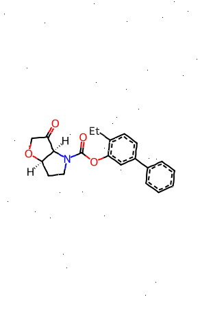 CCc1ccc(-c2ccccc2)cc1OC(=O)N1CC[C@H]2OCC(=O)[C@H]21